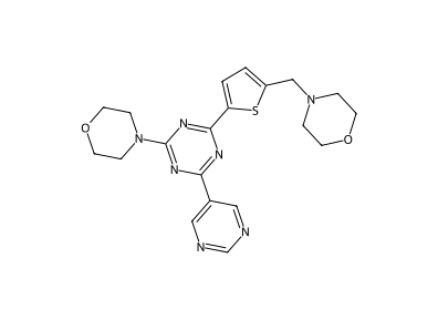 c1ncc(-c2nc(-c3ccc(CN4CCOCC4)s3)nc(N3CCOCC3)n2)cn1